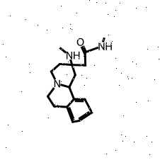 CNC(=O)CC1(NC)CCN2CCc3ccccc3C2C1